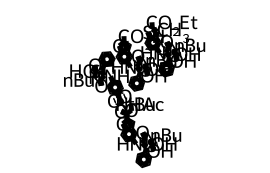 CCCCN1C(=O)C(Nc2ccc(S(=O)(=O)NC(C)=O)cc2)=C(c2ccccc2)S1(O)O.CCCCN1C(=O)C(Nc2ccc3oc(C(=O)O)cc3c2)=C(c2ccccc2)S1(O)O.CCCCN1C(=O)C(Nc2ccc3oc(C(=O)OC(C)(C)C)cc3c2)=C(c2ccccc2)S1(O)O.CCCCN1C(=O)C(Nc2ccc3sc(C(=O)OCC)c(C)c3c2)=C(c2ccccc2)S1(O)O